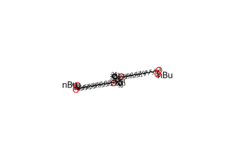 CCCCOC(=O)CCCCCCCCCCCCCCCCOc1c2ccccc2c(OCCCCCCCCCCCCCCCCC(=O)OCCCC)c2ccccc12